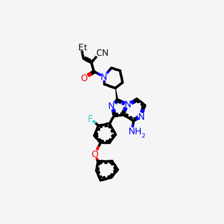 CC/C=C(\C#N)C(=O)N1CCC[C@@H](c2nc(-c3ccc(Oc4ccccc4)cc3F)c3c(N)nccn23)C1